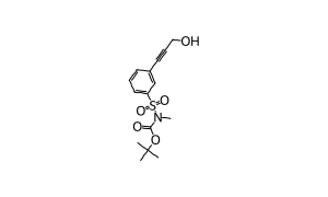 CN(C(=O)OC(C)(C)C)S(=O)(=O)c1cccc(C#CCO)c1